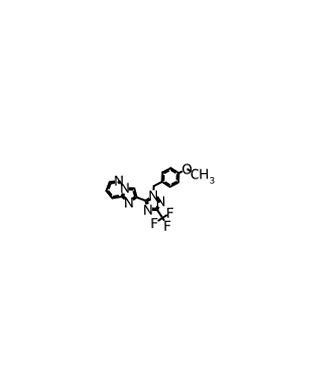 COc1ccc(Cn2nc(C(F)(F)F)nc2-c2cn3ncccc3n2)cc1